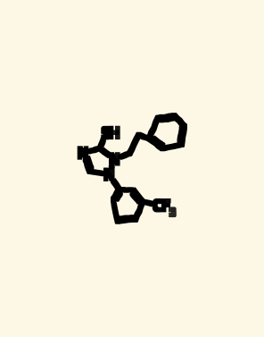 FC(F)(F)c1cccc(N2C=NC(S)N2CCc2ccccc2)c1